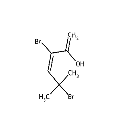 C=C(O)/C(Br)=C\C(C)(C)Br